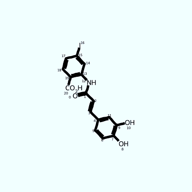 O=C(/C=C/c1ccc(O)c(O)c1)Nc1cc(I)ccc1C(=O)O